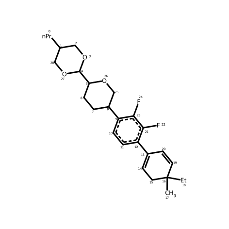 CCCC1COC(C2CCC(c3ccc(C4=CCC(C)(CC)C=C4)c(F)c3F)CO2)OC1